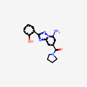 Nc1cc(C(=O)N2CCCC2)cc2nc(-c3ccccc3O)nn12